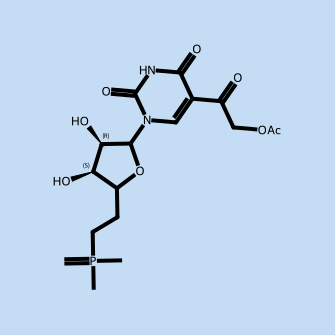 C=P(C)(C)CCC1OC(n2cc(C(=O)COC(C)=O)c(=O)[nH]c2=O)[C@H](O)[C@@H]1O